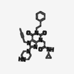 CC#CCn1c(N2CCNCC2)nc2c1c(=O)n(CCc1ccccc1)c(=O)n2CC(=O)NC1CC1